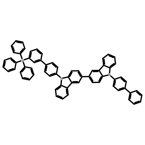 c1ccc(-c2ccc(-n3c4ccccc4c4cc(-c5ccc6c(c5)c5ccccc5n6-c5ccc(-c6cccc([Si](c7ccccc7)(c7ccccc7)c7ccccc7)c6)cc5)ccc43)cc2)cc1